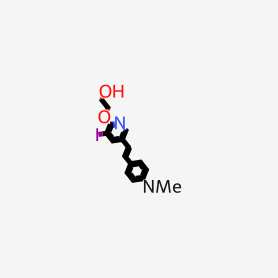 CNc1ccc(/C=C/c2cnc(OCCO)c(I)c2)cc1